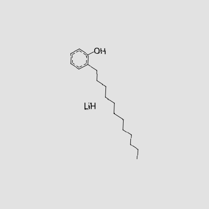 CCCCCCCCCCCCc1ccccc1O.[LiH]